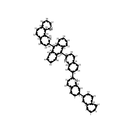 c1ccc2cc(-c3ccc4ccc(-c5ccc6ccc(-c7c8ccccc8c(-c8ccc9ccc%10cccnc%10c9n8)c8ccccc78)nc6c5)nc4c3)ccc2c1